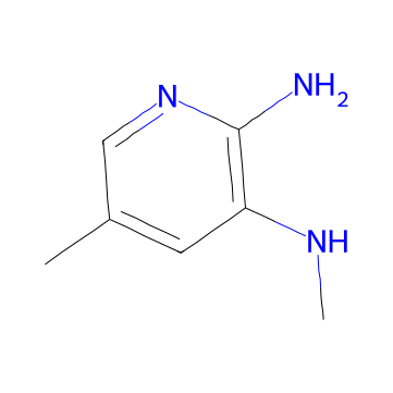 CNc1cc(C)cnc1N